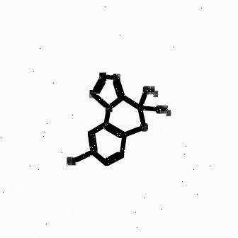 CCc1ccc2c(c1)-n1nnnc1C(C)(C)O2